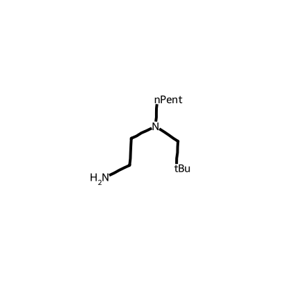 CCCCCN(CCN)CC(C)(C)C